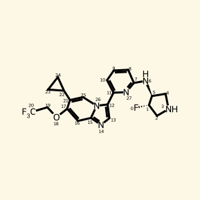 F[C@H]1CNC[C@@H]1Nc1cccc(-c2cnc3cc(OCC(F)(F)F)c(C4CC4)cn23)n1